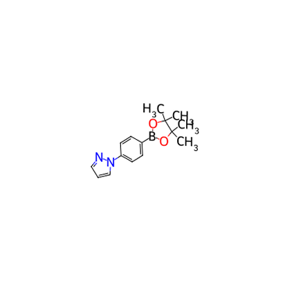 CC1(C)OB(c2ccc(-n3cccn3)cc2)OC1(C)C